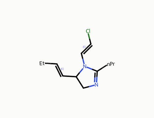 CC/C=C/C1CN=C(CCC)N1/C=C/Cl